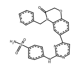 NS(=O)(=O)c1ccc(Nc2nccc(-c3ccc4c(c3)N(Cc3cccnc3)C(=O)CO4)n2)cc1